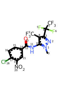 Cn1nc(C(F)(F)C(F)(F)F)c(C(F)(F)F)c1NC(=O)c1ccc(Cl)c([N+](=O)[O-])c1